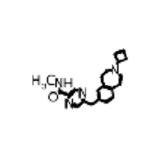 CNC(=O)c1cnc(Cc2ccc3c(c2)CCN(C2CCC2)CC3)cn1